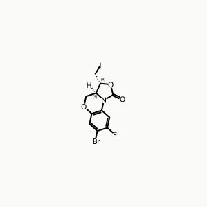 O=C1O[C@@H](CI)[C@@H]2COc3cc(Br)c(F)cc3N12